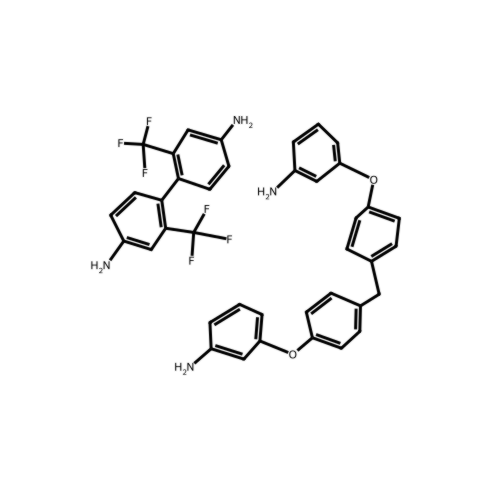 Nc1ccc(-c2ccc(N)cc2C(F)(F)F)c(C(F)(F)F)c1.Nc1cccc(Oc2ccc(Cc3ccc(Oc4cccc(N)c4)cc3)cc2)c1